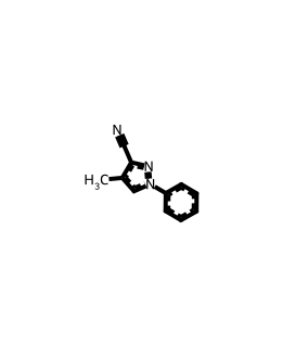 Cc1cn(-c2ccccc2)nc1C#N